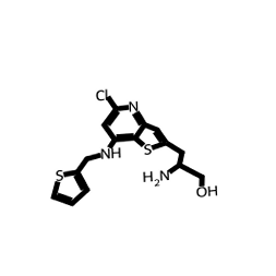 NC(CO)Cc1cc2nc(Cl)cc(NCc3cccs3)c2s1